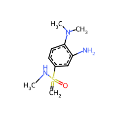 C=S(=O)(NC)c1ccc(N(C)C)c(N)c1